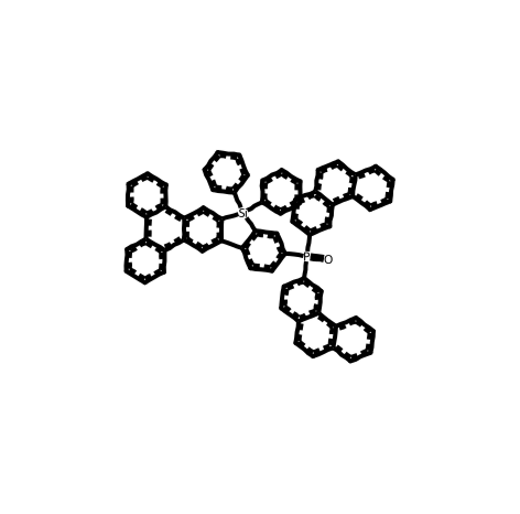 O=P(c1ccc2c(c1)[Si](c1ccccc1)(c1ccccc1)c1cc3c4ccccc4c4ccccc4c3cc1-2)(c1ccc2ccc3ccccc3c2c1)c1ccc2ccc3ccccc3c2c1